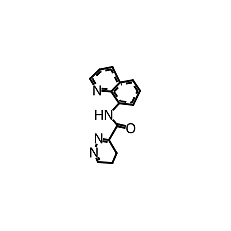 O=C(Nc1cccc2cccnc12)C1=NN=CCC1